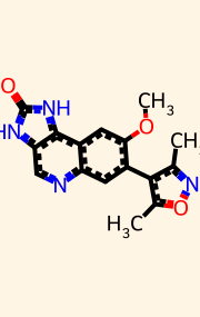 COc1cc2c(cc1-c1c(C)noc1C)ncc1[nH]c(=O)[nH]c12